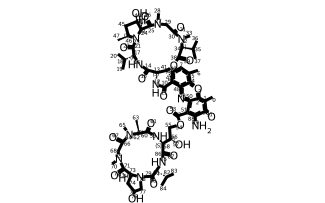 Cc1c2oc3c(C)ccc(C(=O)N[C@@H]4C(=O)N[C@H](C(C)C)C(=O)N5[C@H](C(=O)N(C)CC(=O)N(C)[C@@H](C(C)C)C(=O)O[C@@H]4C)[C@@H](O)C[C@@H]5C)c3nc-2c(C(=O)OC[C@H](O)[C@@H]2NC(=O)[C@H](C)N(C)C(=O)CN(C)C(=O)[C@@H]3CC(O)CN3C(=O)[C@@H](C(C)C)NC2=O)c(N)c1=O